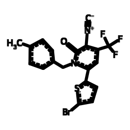 [C-]#[N+]c1c(C(F)(F)F)cc(-c2ccc(Br)s2)n(Cc2ccc(C)cc2)c1=O